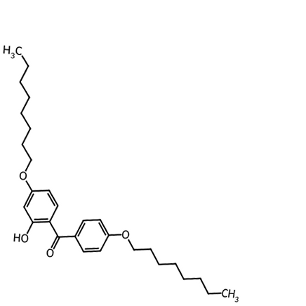 CCCCCCCCOc1ccc(C(=O)c2ccc(OCCCCCCCC)cc2O)cc1